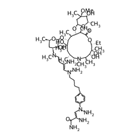 CC[C@H]1OC(=O)[C@H](C)[C@@H](O[C@H]2C[C@@](C)(OC)[C@@H](O)[C@H](C)O2)[C@H](C)[C@@H](O[C@@H]2O[C@H](C)C[C@H](N(C)CC/C(N)=C/N(N)CCCCc3ccc(N(N)/C=C(\N)C(N)=O)cc3)[C@H]2O)[C@](C)(O)C[C@@H](C)CN(C)[C@H](C)[C@@H](O)[C@]1(C)O